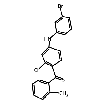 Cc1ccccc1C(=S)c1ccc(Nc2cccc(Br)c2)cc1Cl